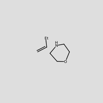 C1COCCN1.C=CCC